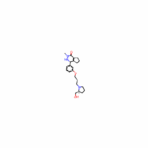 CN1NC(c2cccc(OCCCN3CCC[C@H]3CO)c2)C2=C(CCC2)C1=O